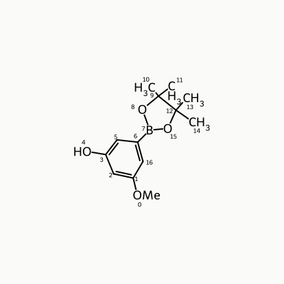 COc1cc(O)cc(B2OC(C)(C)C(C)(C)O2)c1